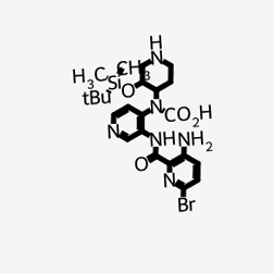 CC(C)(C)[Si](C)(C)OC1CNCCC1N(C(=O)O)c1ccncc1NC(=O)c1nc(Br)ccc1N